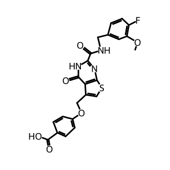 COc1cc(CNC(=O)c2nc3scc(COc4ccc(C(=O)O)cc4)c3c(=O)[nH]2)ccc1F